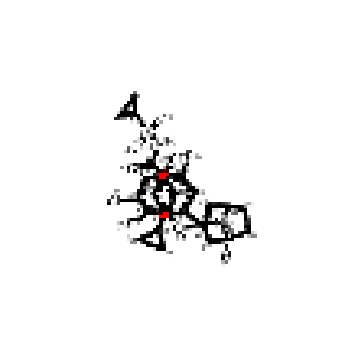 O=C(NS(=O)(=O)C1CC1)c1cc(C2CC2)c(CN2C3CC[C@H]2C[C@@H](Oc2cc(C(F)(F)F)cc(Cl)c2F)C3)cc1F